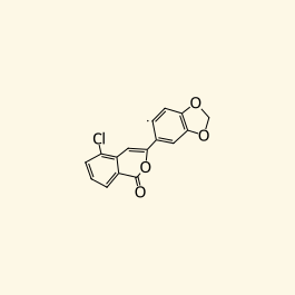 O=c1oc(-c2[c]cc3c(c2)OCO3)cc2c(Cl)cccc12